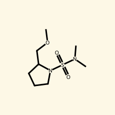 COC[C]1CCCN1S(=O)(=O)N(C)C